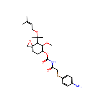 COC1C(OC(=O)NC(=O)CSc2ccc(N)cc2)CC[C@]2(CO2)C1C(C)(C)OCC=C(C)C